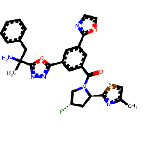 Cc1csc([C@H]2C[C@H](F)CN2C(=O)c2cc(-c3ncco3)cc(-c3nnc(C(C)(N)Cc4ccccc4)o3)c2)n1